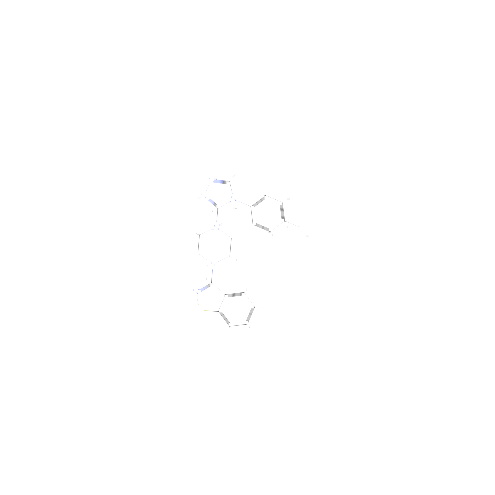 FC(F)(F)c1nnc(N2CCN(c3nsc4ccccc34)CC2)n1-c1ccc(Cl)cc1